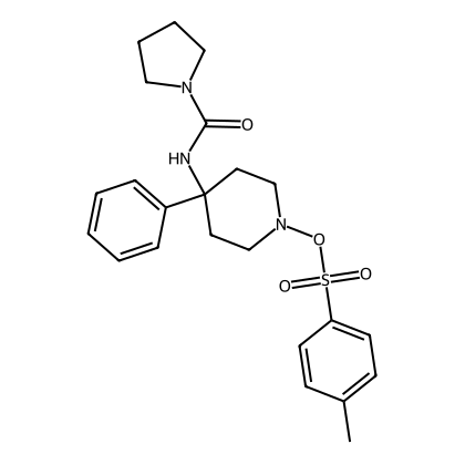 Cc1ccc(S(=O)(=O)ON2CCC(NC(=O)N3CCCC3)(c3ccccc3)CC2)cc1